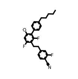 CCCCCc1ccc(-c2c([O])cc(F)c(CCc3ccc(C#N)c(F)c3)c2F)cc1